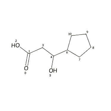 O=C(O)CC(O)C1CCCC1